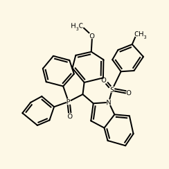 COc1ccc(C(c2cc3ccccc3n2S(=O)(=O)c2ccc(C)cc2)P(=O)(c2ccccc2)c2ccccc2)cc1